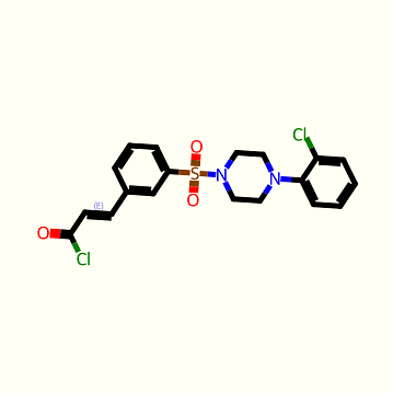 O=C(Cl)/C=C/c1cccc(S(=O)(=O)N2CCN(c3ccccc3Cl)CC2)c1